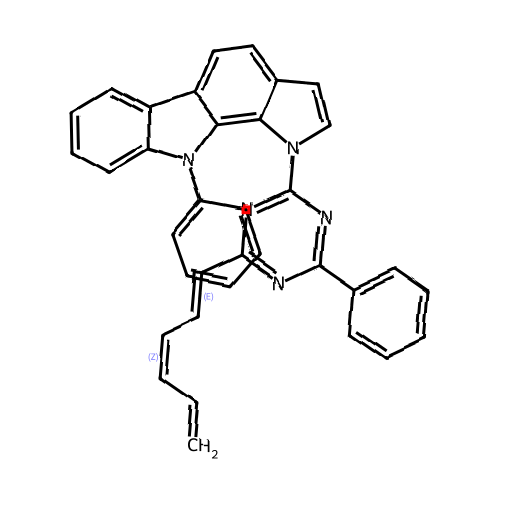 C=C/C=C\C=C\c1nc(-c2ccccc2)nc(-n2ccc3ccc4c5ccccc5n(-c5ccccc5)c4c32)n1